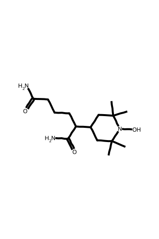 CC1(C)CC(C(CCCC(N)=O)C(N)=O)CC(C)(C)N1O